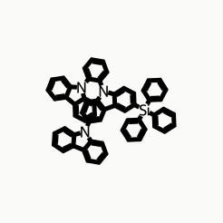 c1ccc([Si](c2ccccc2)(c2ccccc2)c2ccc3c(c2)c2cc(-n4c5ccccc5c5ccccc54)ccc2n3-c2ccccc2-n2c3ccccc3c3ccccc32)cc1